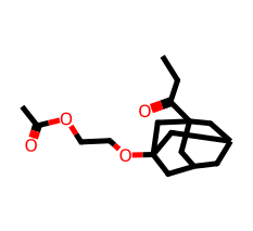 CCC(=O)C12CC3CC(CC(OCCOC(C)=O)(C3)C1)C2